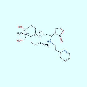 C=C1CCC2[C@](C)(CO)[C@H](O)CC[C@@]2(C)[C@@H]1CC(NCCc1ccccn1)C1=CCOC1=O